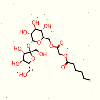 CCCCCC(=O)OCC(=O)OC[C@H]1O[C@H](O[C@]2(CO)O[C@H](CO)[C@@H](O)[C@@H]2O)[C@H](O)[C@@H](O)[C@@H]1O